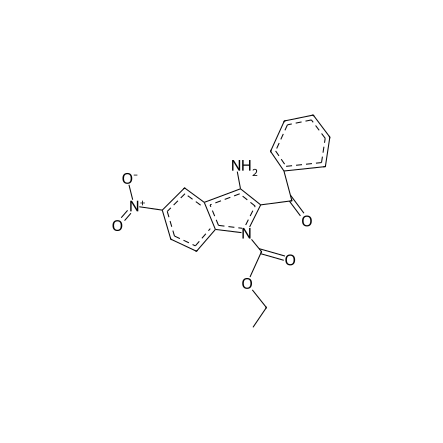 CCOC(=O)n1c(C(=O)c2ccccc2)c(N)c2cc([N+](=O)[O-])ccc21